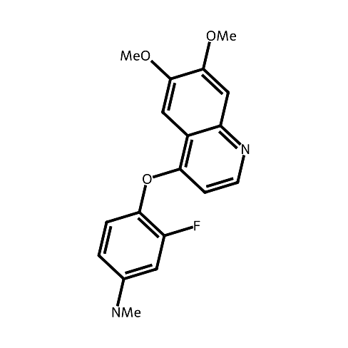 CNc1ccc(Oc2ccnc3cc(OC)c(OC)cc23)c(F)c1